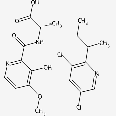 CCC(C)c1ncc(Cl)cc1Cl.COc1ccnc(C(=O)N[C@@H](C)C(=O)O)c1O